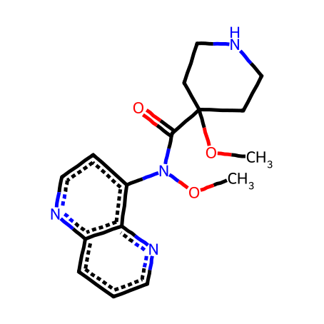 CON(C(=O)C1(OC)CCNCC1)c1ccnc2cccnc12